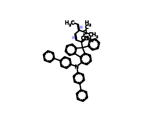 C=C(/C=C\C(=C/C)[Si](C)(C)C)C1(c2ccccc2)c2ccccc2-c2c(N(c3ccc(-c4ccccc4)cc3)c3ccc(-c4ccccc4)cc3)cccc21